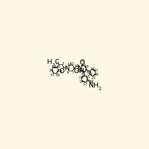 CC(CC(=O)N1CCC(O)(Cn2cc(-c3cccc(CN)c3)c(-c3ccccc3)cc2=O)CC1)c1ccccc1